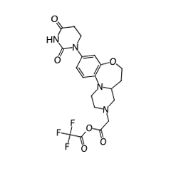 O=C1CCN(c2ccc3c(c2)OCCC2CN(CC(=O)OC(=O)C(F)(F)F)CCN32)C(=O)N1